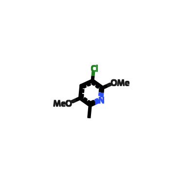 COc1cc(Cl)c(OC)nc1C